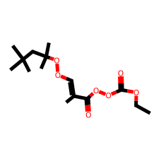 CCOC(=O)OOC(=O)C(C)=COOC(C)(C)CC(C)(C)C